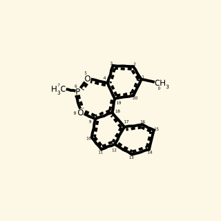 Cc1ccc2op(C)oc3ccc4ccccc4c3c2c1